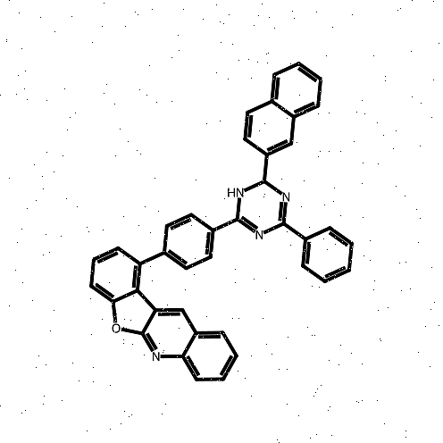 c1ccc(C2=NC(c3ccc4ccccc4c3)NC(c3ccc(-c4cccc5oc6nc7ccccc7cc6c45)cc3)=N2)cc1